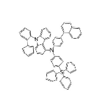 c1ccc(-c2ccccc2-n2c3ccccc3c3c(N(c4ccc(-c5cccc6ccccc56)cc4)c4ccc([Si](c5ccccc5)(c5ccccc5)c5ccccc5)cc4)cccc32)cc1